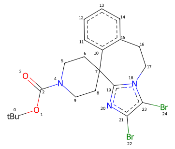 CC(C)(C)OC(=O)N1CCC2(CC1)c1ccccc1CCn1c2nc(Br)c1Br